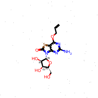 C=CCOc1nc(N)nc2c1sc(=O)n2[C@@H]1O[C@H](CO)[C@@H](O)[C@H]1O